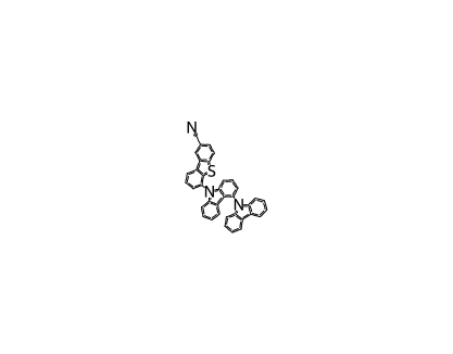 N#Cc1ccc2sc3c(-n4c5ccccc5c5c(-n6c7ccccc7c7ccccc76)cccc54)cccc3c2c1